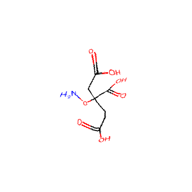 NOC(CC(=O)O)(CC(=O)O)C(=O)O